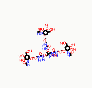 CNC(CONC(=O)NCOCOC1CC(CO)C(O)C(O)C1NC(C)=O)(CONC(=O)NCOCOC1CC(CO)C(O)C(O)C1NC(C)=O)CN(O)C(=O)NCOCOC1CC(CO)C(O)C(O)C1NC(C)=O